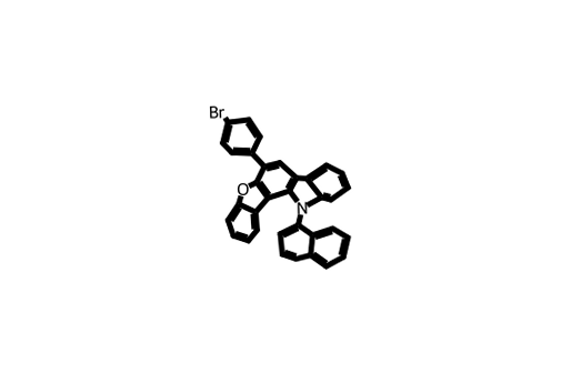 Brc1ccc(-c2cc3c4ccccc4n(-c4cccc5ccccc45)c3c3c2oc2ccccc23)cc1